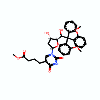 COC(=O)CCCc1cn([C@H]2C[C@H](O)[C@@H](C(O)C(c3ccccc3)(c3ccccc3OC)c3ccccc3OC)O2)c(=O)[nH]c1=O